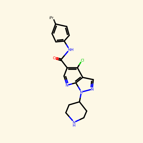 CC(C)c1ccc(NC(=O)c2cnc3c(cnn3C3CCNCC3)c2Cl)cc1